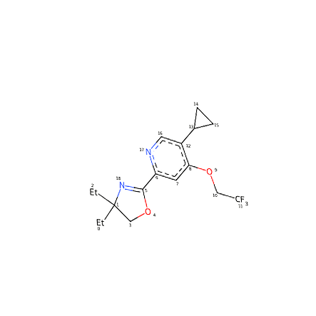 CCC1(CC)COC(c2cc(OCC(F)(F)F)c(C3CC3)cn2)=N1